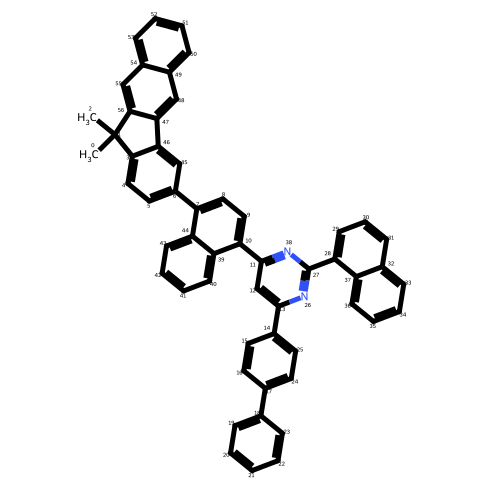 CC1(C)c2ccc(-c3ccc(-c4cc(-c5ccc(-c6ccccc6)cc5)nc(-c5cccc6ccccc56)n4)c4ccccc34)cc2-c2cc3ccccc3cc21